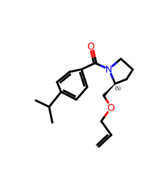 C=CCOC[C@@H]1CCCN1C(=O)c1ccc(C(C)C)cc1